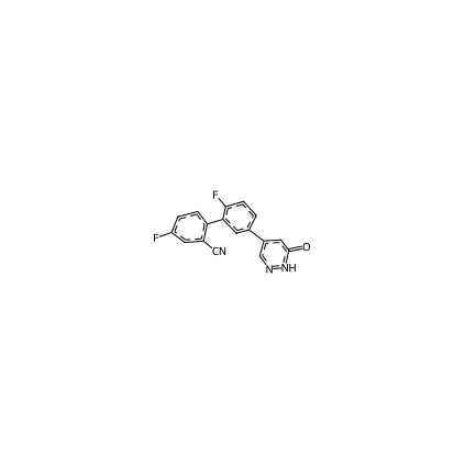 N#Cc1cc(F)ccc1-c1cc(-c2cn[nH]c(=O)c2)ccc1F